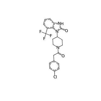 O=C(Cc1ccc(Cl)cc1)N1CCC(n2c(=O)[nH]c3cccc(C(F)(F)F)c32)CC1